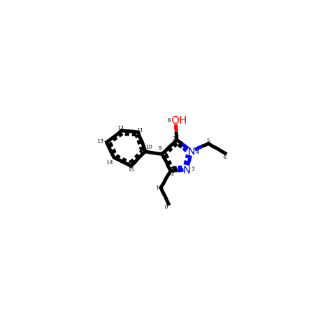 CCc1nn(CC)c(O)c1-c1ccccc1